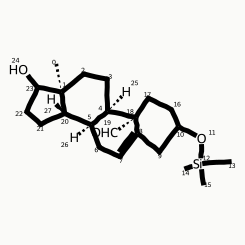 C[C@]12CC[C@@H]3[C@@H](CC=C4CC(O[Si](C)(C)C)CC[C@@]43C=O)[C@@H]1CCC2O